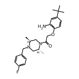 C[C@@H]1CN(Cc2ccc(F)cc2)[C@@H](C)CN1C(=O)COc1ccc(C(C)(C)C)cc1N